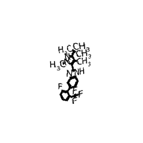 Cc1c(C(C)(C)C)nn(C)c1-c1nc2cc(-c3c(F)cccc3C(F)(F)F)ccc2[nH]1